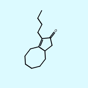 CCCCC1=C2CCCCCCC2CC1=O